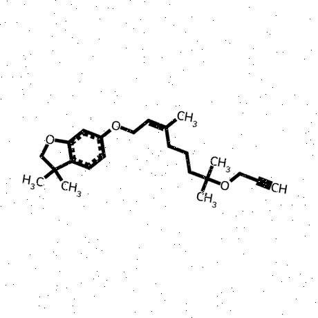 C#CCOC(C)(C)CCCC(C)=CCOc1ccc2c(c1)OCC2(C)C